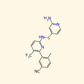 Cc1ccc(C#N)cc1-c1nc(NSc2ccnc(N)c2)ccc1C(F)(F)F